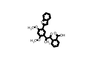 C=C(C(=O)c1ccccc1C(=O)O)c1cc(-c2cc3ccccc3s2)c(OC)cc1OC